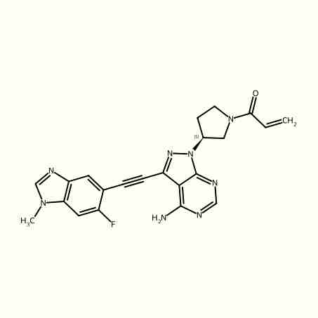 C=CC(=O)N1CC[C@H](n2nc(C#Cc3cc4ncn(C)c4cc3F)c3c(N)ncnc32)C1